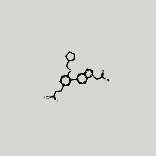 O=C(O)CCc1ccc(OCC2CCCC2)c(-c2ccc3c(ccn3CC(=O)O)c2)c1